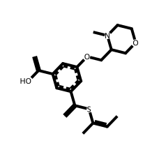 C=C(O)c1cc(OCC2COCCN2C)cc(C(=C)S/C(C)=C\C)c1